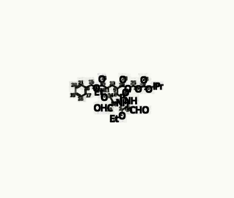 CCOC[C@@H](C=O)NP(=O)(CC(CCC(=O)OCc1ccccc1)C(=O)OCOC(=O)OC(C)C)N[C@H](C=O)COCC